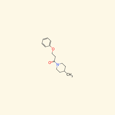 CC1CCN(C(=O)CCOc2ccccc2)CC1